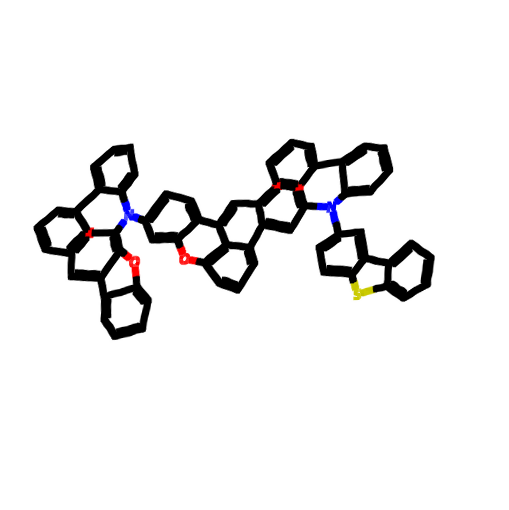 c1ccc(-c2ccccc2N(c2ccc3cc4c5c(cccc5c3c2)Oc2cc(N(c3ccccc3-c3ccccc3)c3cccc5c3oc3ccccc35)ccc2-4)c2ccc3sc4ccccc4c3c2)cc1